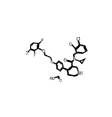 O=C(C1=C(c2ccc(OCCOc3c(F)ccc(Cl)c3F)cc2)CCNC1)N(Cc1cccc(Cl)c1Cl)C1CC1.O=CO